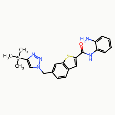 C[Si](C)(C)c1cn(Cc2ccc3cc(C(=O)Nc4ccccc4N)sc3c2)nn1